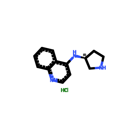 Cl.c1ccc2c(N[C@H]3CCNC3)ccnc2c1